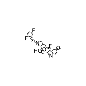 COc1ccc2ncc(Cl)c([C@H](F)CCC3CCN(CCSc4cc(F)ccc4F)CC3C(=O)O)c2c1